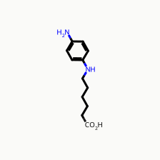 Nc1ccc(NCCCCCC(=O)O)cc1